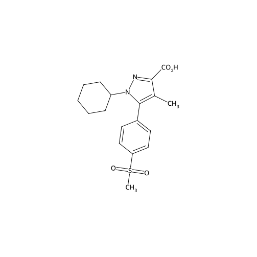 Cc1c(C(=O)O)nn(C2CCCCC2)c1-c1ccc(S(C)(=O)=O)cc1